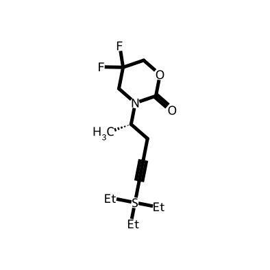 CCS(C#CC[C@H](C)N1CC(F)(F)COC1=O)(CC)CC